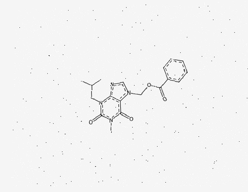 CC(C)Cn1c(=O)n(C)c(=O)c2c1ncn2COC(=O)c1ccccc1